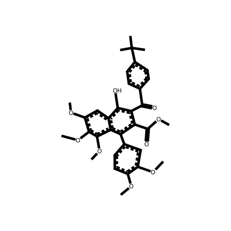 COC(=O)c1c(C(=O)c2ccc(C(C)(C)C)cc2)c(O)c2cc(OC)c(OC)c(OC)c2c1-c1ccc(OC)c(OC)c1